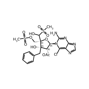 CC(=O)O[C@H]1[C@H](n2c(N)nc3ncnc-3c2Cl)O[C@](COS(C)(=O)=O)(C(O)S(C)(=O)=O)[C@]1(O)Cc1ccccc1